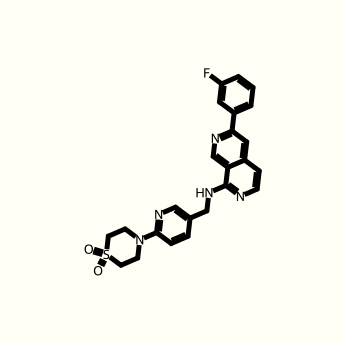 O=S1(=O)CCN(c2ccc(CNc3nccc4cc(-c5cccc(F)c5)ncc34)cn2)CC1